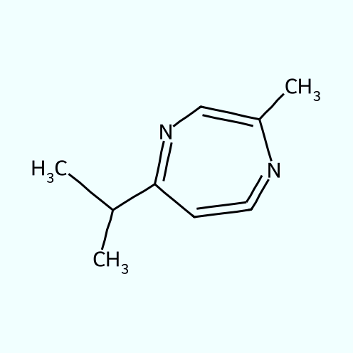 CC1=CN=C(C(C)C)C=C=N1